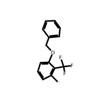 [CH2]c1cccc(OCc2ccccc2)c1C(F)(F)F